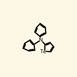 c1ccc(N(c2ccccc2)c2ccc[te]2)cc1